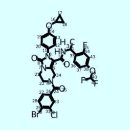 CC(NC(=O)c1c2n(c(=O)n1-c1ccc(OC3CC3)cc1)CCN(C(=O)c1ccc(Br)c(Cl)c1)C2)c1ccc(OC(F)F)cc1F